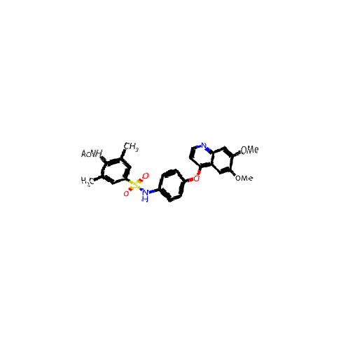 COc1cc2nccc(Oc3ccc(NS(=O)(=O)c4cc(C)c(NC(C)=O)c(C)c4)cc3)c2cc1OC